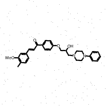 COc1cc(/C=C/C(=O)c2ccc(OCC(O)CN3CCN(c4ccccc4)CC3)cc2)ccc1C